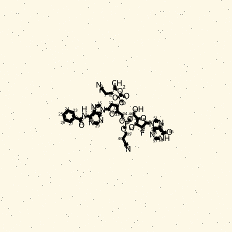 C=COP(=O)(OCCC#N)O[C@H]1CC(n2cnc3c(NC(=O)c4ccccc4)ncnc32)OC1COP(=O)(OCCC#N)O[C@@H]1C(CO)OC(n2cnc3c(=O)[nH]cnc32)[C@@H]1F